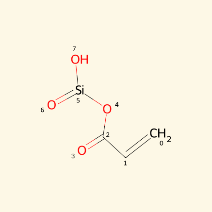 C=CC(=O)O[Si](=O)O